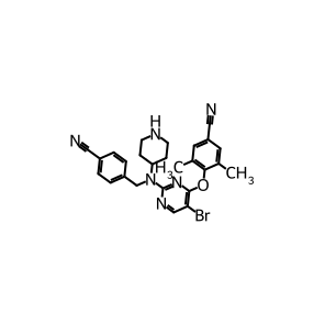 Cc1cc(C#N)cc(C)c1Oc1nc(N(Cc2ccc(C#N)cc2)C2CCNCC2)ncc1Br